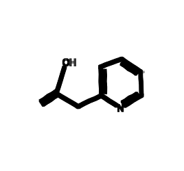 C=C(O)Cc1cc[c]cn1